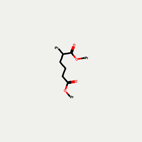 CC(C)OC(=O)CCCC(C(=O)OC(C)C)C(C)C